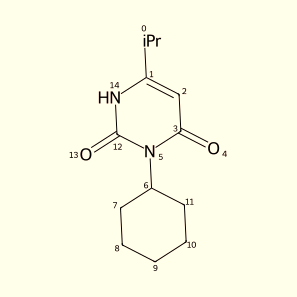 CC(C)c1cc(=O)n(C2CCCCC2)c(=O)[nH]1